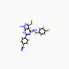 CCc1nn(C)c2nc(-c3ccc(C#N)cc3)nc(NCc3ccc(Cl)cc3)c12